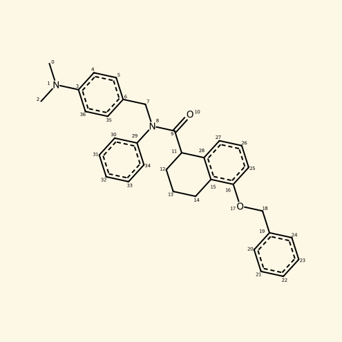 CN(C)c1ccc(CN(C(=O)C2CCCc3c(OCc4ccccc4)cccc32)c2ccccc2)cc1